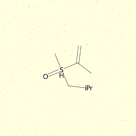 C=C(C)[SH](C)(=O)CC(C)C